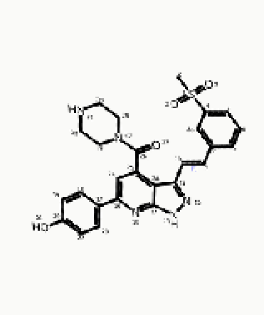 CS(=O)(=O)c1cccc(/C=C/c2n[nH]c3nc(-c4ccc(O)cc4)cc(C(=O)N4CCNCC4)c23)c1